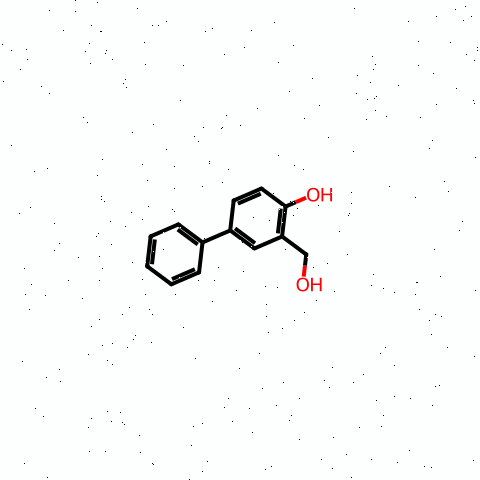 OCc1cc(-c2ccccc2)ccc1O